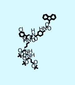 CC(C)(C)OC(=O)CC[C@H](NC(=O)N[C@@H](CCCCNC(=O)[C@@H](Cc1csc2ccc(Cl)cc12)NC(=O)C1CCC(CNC(=O)OCC2c3ccccc3-c3ccccc32)CC1)C(=O)OC(C)(C)C)C(=O)OC(C)(C)C